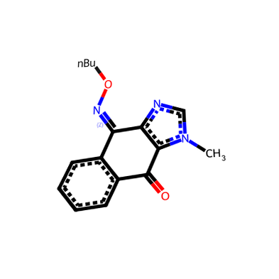 CCCCO/N=C1/c2ccccc2C(=O)c2c1ncn2C